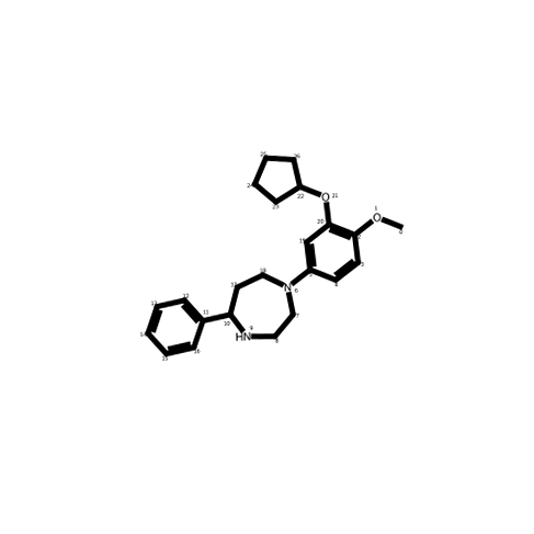 COc1ccc(N2CCNC(c3ccccc3)CC2)cc1OC1CCCC1